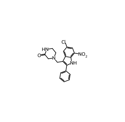 O=C1CN(Cc2c(-c3ccccc3)[nH]c3c([N+](=O)[O-])cc(Cl)cc23)CCN1